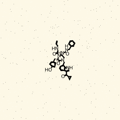 C=CCNCC(=O)N1[C@@H](NC(=O)NCc2ccccc2)CN(Cc2cccc3c(C(=O)C4CC4)c[nH]c23)C(=O)[C@@H]1Cc1ccc(O)cc1